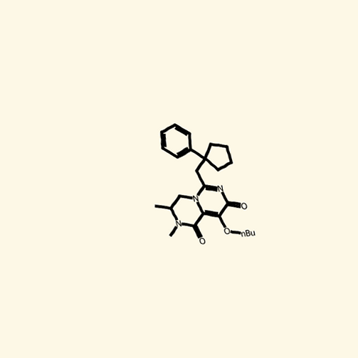 CCCCOc1c2n(c(CC3(c4ccccc4)CCCC3)nc1=O)CC(C)N(C)C2=O